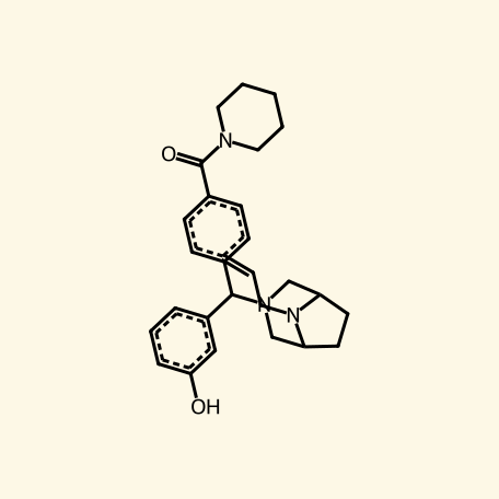 C=CCN1C2CCC1CN(C(c1ccc(C(=O)N3CCCCC3)cc1)c1cccc(O)c1)C2